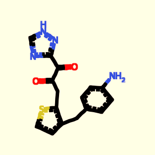 Nc1ccc(Cc2ccsc2CC(=O)C(=O)c2nc[nH]n2)cc1